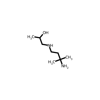 CC(O)CNCCC(C)(C)N